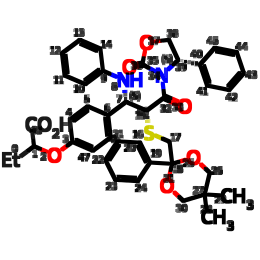 CCC(Oc1ccc([C@H](Nc2ccccc2)[C@@H](SCC2(c3ccccc3)OCC(C)(C)CO2)C(=O)N2C(=O)OC[C@@H]2c2ccccc2)cc1)C(=O)O